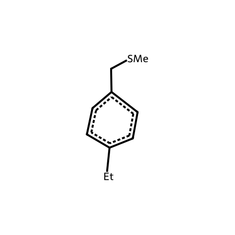 CCc1ccc(CSC)cc1